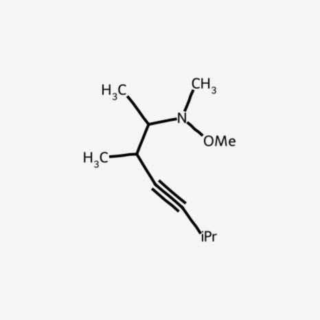 CON(C)C(C)C(C)C#CC(C)C